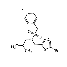 CC(C)CN(Cc1ccc(Br)s1)S(=O)(=O)Cc1ccccc1